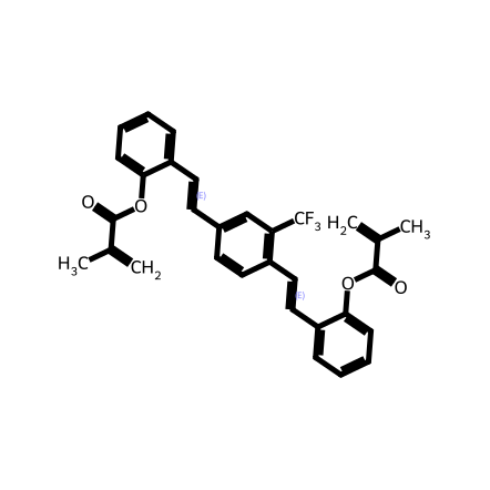 C=C(C)C(=O)Oc1ccccc1/C=C/c1ccc(/C=C/c2ccccc2OC(=O)C(=C)C)c(C(F)(F)F)c1